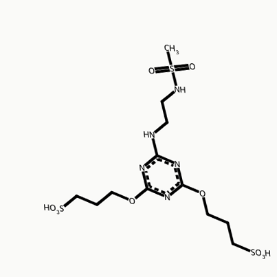 CS(=O)(=O)NCCNc1nc(OCCCS(=O)(=O)O)nc(OCCCS(=O)(=O)O)n1